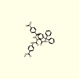 COC(=O)c1ccc(NC(=O)C(CC(=O)NC(c2ccccc2)(c2ccccc2)c2ccccc2)NC(=O)c2ccc([N+](=O)[O-])cc2)cc1